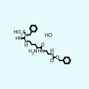 Cl.N=C(NCCC[C@H](N)C(=O)NCCNC(=O)OCc1ccccc1)N(Cc1ccccc1)C(=O)O